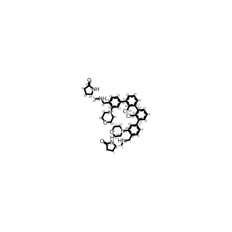 O=C1CC[C@@H](CNCc2ccc(-c3cccc(-c4cccc(-c5ccc(CNC[C@@H]6CCC(=O)N6)c(N6CCOCC6)c5)c4Cl)c3Cl)cc2N2CCOCC2)N1